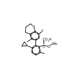 Cc1ccc(C2CC2)c(-c2cc(F)c3c(c2C)CCCO3)c1[C@H](OC(C)(C)C)C(=O)O